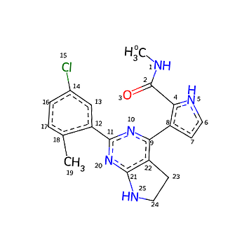 CNC(=O)c1[nH]ccc1-c1nc(-c2cc(Cl)ccc2C)nc2c1CCN2